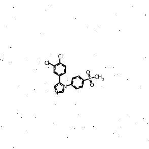 CS(=O)(=O)c1ccc(-n2cncc2-c2ccc(Cl)c(Cl)c2)cc1